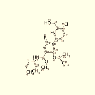 C/C=C\C(NC(=O)c1cc(F)c(-c2ccc(Cl)c(CO)n2)cc1O[C@@H](C)C(F)(F)F)=C(C)C